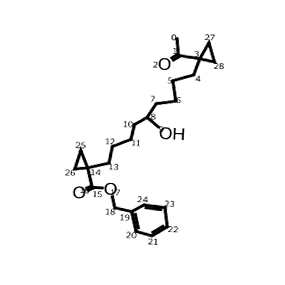 CC(=O)C1(CCCCC(O)CCCCC2(C(=O)OCc3ccccc3)CC2)CC1